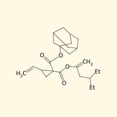 C=CC1CC1(C(=O)OC(=C)CC(CC)CC)C(=O)OC12CC3CC(CC(C3)C1)C2